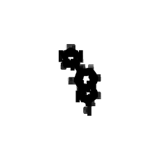 Ic1cn2ccc(-n3cncn3)cc2n1